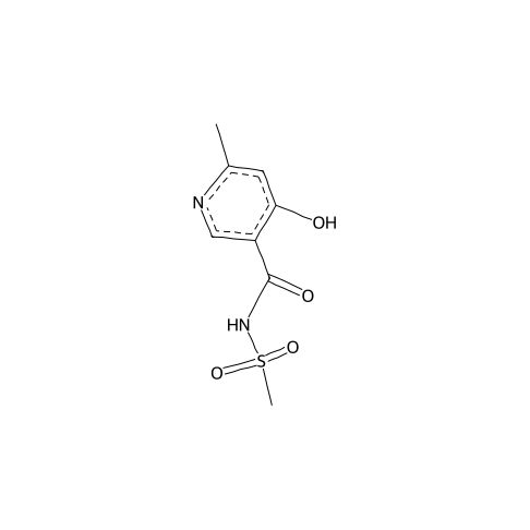 Cc1cc(O)c(C(=O)NS(C)(=O)=O)cn1